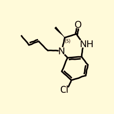 CC=CCN1c2cc(Cl)ccc2NC(=O)[C@@H]1C